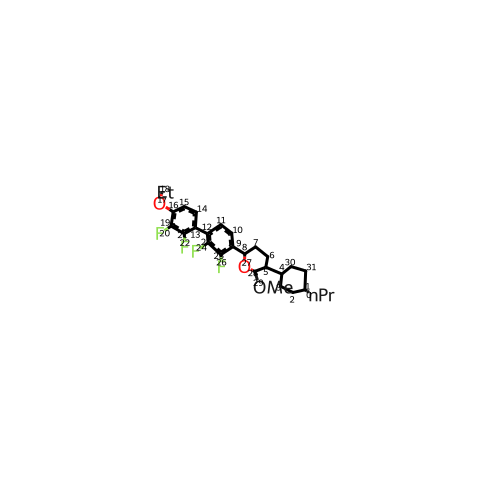 CCCC1CCC(C2CCC(c3ccc(-c4ccc(OCC)c(F)c4F)c(F)c3F)OC2OC)CC1